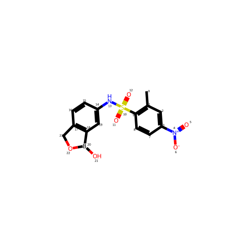 Cc1cc([N+](=O)[O-])ccc1S(=O)(=O)Nc1ccc2c(c1)B(O)OC2